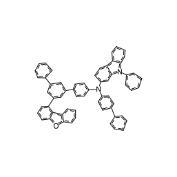 c1ccc(-c2ccc(N(c3ccc(-c4cc(-c5ccccc5)cc(-c5cccc6oc7ccccc7c56)c4)cc3)c3ccc4c5ccccc5n(-c5ccccc5)c4c3)cc2)cc1